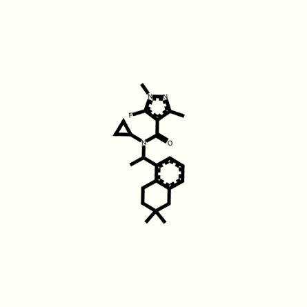 Cc1nn(C)c(F)c1C(=O)N(C1CC1)C(C)c1cccc2c1CCC(C)(C)C2